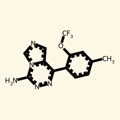 Cc1ccc(-c2nnc(N)n3cncc23)c(OC(F)(F)F)c1